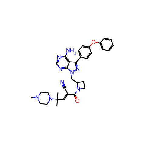 CN1CCN(C(C)(C)C=C(C#N)C(=O)N2CCC2Cn2nc(-c3ccc(Oc4ccccc4)cc3)c3c(N)ncnc32)CC1